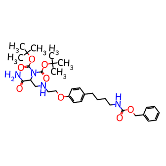 CC(C)(C)OC(=O)N(C(=O)OC(C)(C)C)C(CNCCOc1ccc(CCCCNC(=O)OCc2ccccc2)cc1)C(N)=O